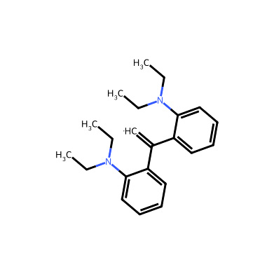 [CH]=C(c1ccccc1N(CC)CC)c1ccccc1N(CC)CC